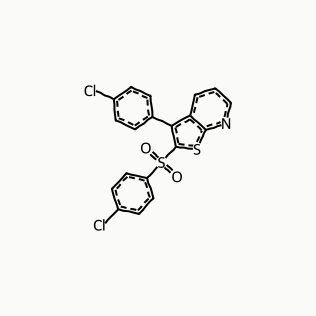 O=S(=O)(c1ccc(Cl)cc1)c1sc2ncccc2c1-c1ccc(Cl)cc1